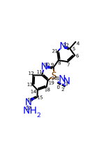 C#N.C#N.Cc1ccc(-c2nc3ccc(C=NN)cc3s2)cn1